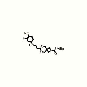 CC(C)(C)OC(=O)N1CC2(COC(CCNc3ccc(C#N)c(F)c3)OC2)C1